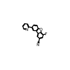 N#Cc1cc(F)c2oc3ccc(-c4ccccn4)cc3c2c1